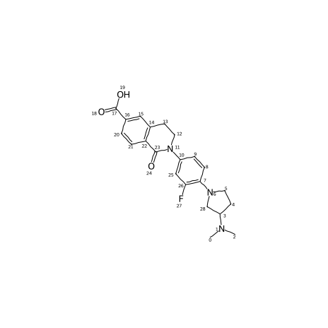 CN(C)C1CCN(c2ccc(N3CCc4cc(C(=O)O)ccc4C3=O)cc2F)C1